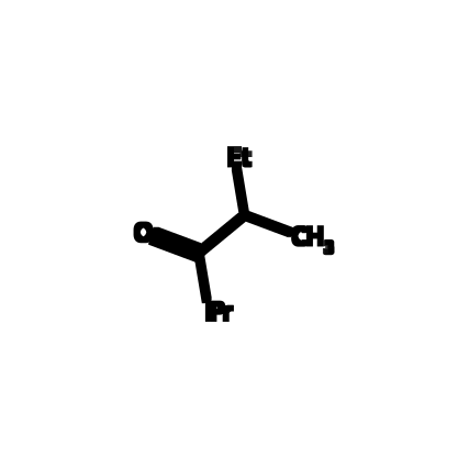 [CH2]C(C)C(=O)C(C)CC